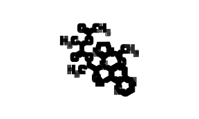 CC(=O)O[C@@H](C)C(=O)O[C@@H](C)C(=O)N(C1=NCCN1C(C)=O)c1ccc2nccnc2c1Br